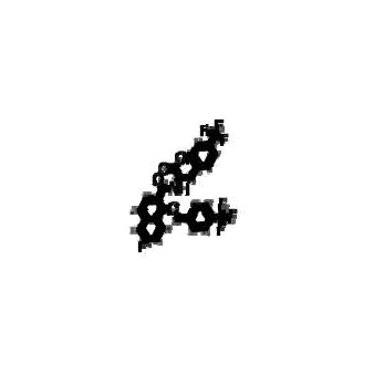 O=C(NC(Cc1ccc(C(F)(F)F)cc1)C(=O)O)c1ccc2cc(F)ccc2c1OCc1ccc(C(F)(F)F)cc1